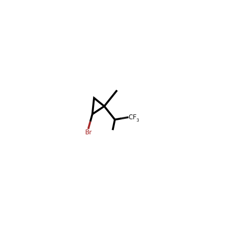 CC(C(F)(F)F)C1(C)CC1Br